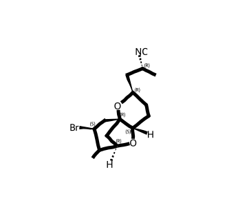 [C-]#[N+][C@H](C)C[C@H]1CC[C@@H]2O[C@@H]3C[C@]2(C[C@H](Br)C3C)O1